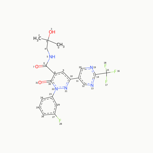 CC(C)(O)CNC(=O)c1cc(-c2cnc(C(F)(F)F)nc2)nn(-c2cccc(F)c2)c1=O